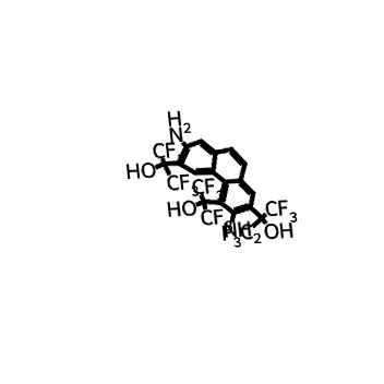 Nc1cc2ccc3cc(C(O)(C(F)(F)F)C(F)(F)F)c(N)c(C(O)(C(F)(F)F)C(F)(F)F)c3c2cc1C(O)(C(F)(F)F)C(F)(F)F